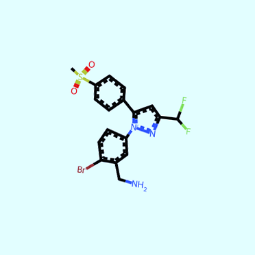 CS(=O)(=O)c1ccc(-c2cc(C(F)F)nn2-c2ccc(Br)c(CN)c2)cc1